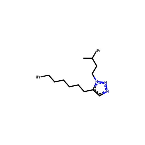 CC(C)CCCCCCc1cnnn1CCC(C)C(C)C